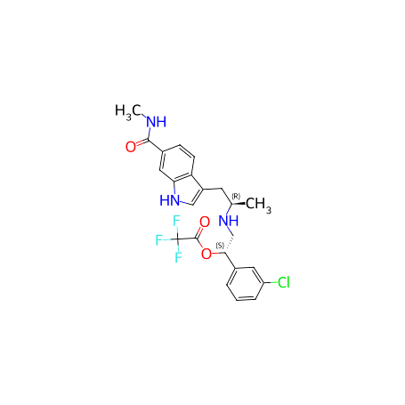 CNC(=O)c1ccc2c(C[C@@H](C)NC[C@@H](OC(=O)C(F)(F)F)c3cccc(Cl)c3)c[nH]c2c1